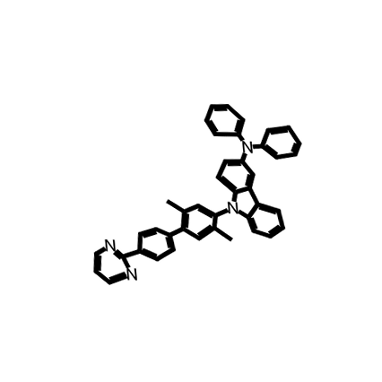 Cc1cc(-n2c3ccccc3c3cc(N(c4ccccc4)c4ccccc4)ccc32)c(C)cc1-c1ccc(-c2ncccn2)cc1